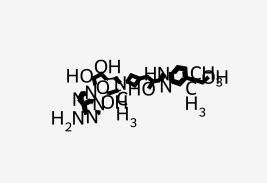 CC(CO)N(C[C@H]1O[C@@H](n2cnc3c(N)ncnc32)[C@H](O)[C@@H]1O)C1CC(CC(O)c2nc3cc(C(C)(C)CO)ccc3[nH]2)C1